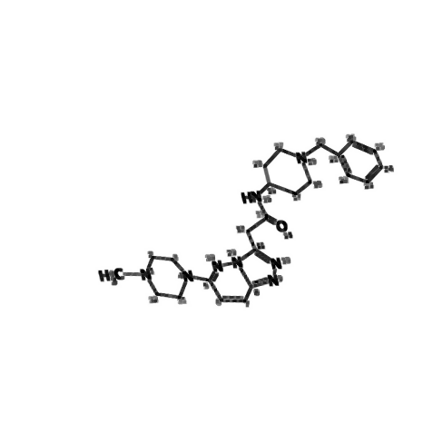 CN1CCN(c2ccc3nnc(CC(=O)NC4CCN(Cc5ccccc5)CC4)n3n2)CC1